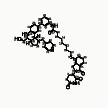 O=C1CCC(N2Cc3c(SCCCCCCCC(=O)Nc4cccc(-c5ccc6c(c5)[C@H]5[C@H](CCN5Cc5ccncc5)[C@@H](CO)N6)c4)cccc3C2=O)C(=O)N1